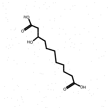 O=C(O)CCCCCCCC(O)CC(=O)O